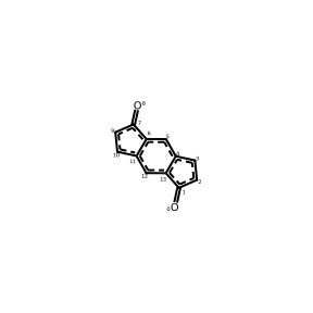 O=c1ccc2cc3c(=O)ccc3cc12